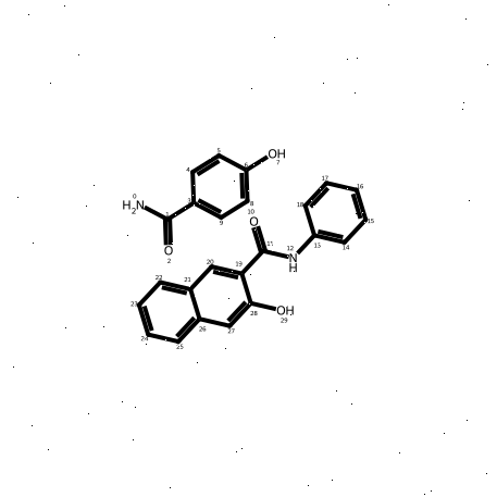 NC(=O)c1ccc(O)cc1.O=C(Nc1ccccc1)c1cc2ccccc2cc1O